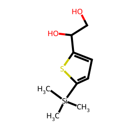 C[Si](C)(C)c1ccc(C(O)CO)s1